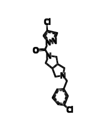 O=C(N1CC2CN(Cc3cccc(Cl)c3)CC2C1)n1cc(Cl)cn1